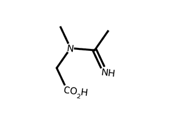 CC(=N)N(C)CC(=O)O